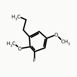 CCCc1cc(OC)cc(F)c1OC